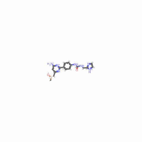 C[S+]([O-])Cc1cc(N)nc(-c2ccc(NC(=O)NCc3ncc[nH]3)cc2)n1